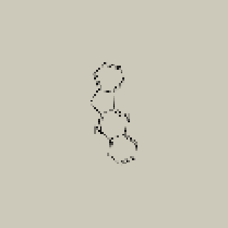 c1ccc2c(c1)Cc1nc3ccccc3nc1-2